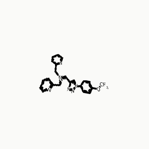 FC(F)(F)Oc1ccc(-n2cc(CN(Cc3ccccn3)Cc3ccccn3)nn2)cc1